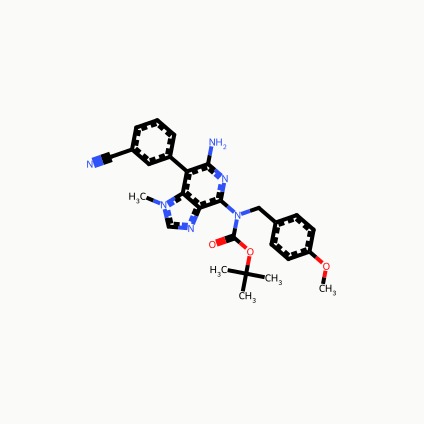 COc1ccc(CN(C(=O)OC(C)(C)C)c2nc(N)c(-c3cccc(C#N)c3)c3c2ncn3C)cc1